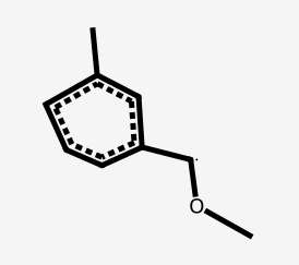 CO[CH]c1cccc(C)c1